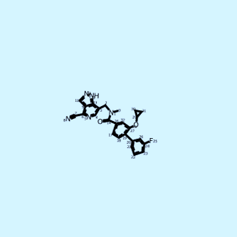 CN(Cc1cnc(C#N)c2cn[nH]c12)C(=O)c1ccc(-c2cccc(F)c2)c(OC2CC2)c1